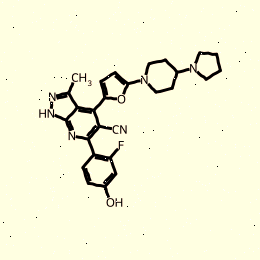 Cc1n[nH]c2nc(-c3ccc(O)cc3F)c(C#N)c(-c3ccc(N4CCC(N5CCCC5)CC4)o3)c12